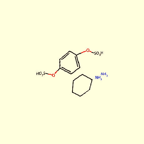 C1CCCCC1.N.N.O=S(=O)(O)Oc1ccc(OS(=O)(=O)O)cc1